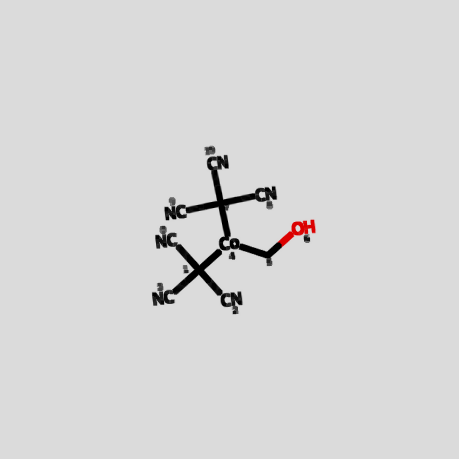 N#C[C](C#N)(C#N)[Co]([CH2]O)[C](C#N)(C#N)C#N